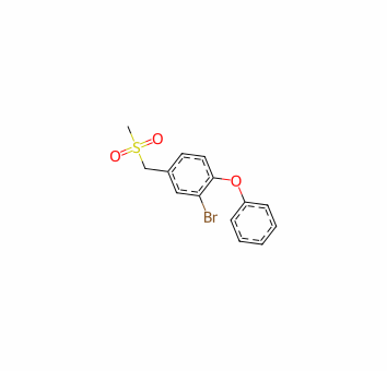 CS(=O)(=O)Cc1ccc(Oc2ccccc2)c(Br)c1